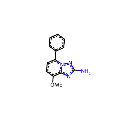 COc1ccc(-c2ccccc2)n2nc(N)nc12